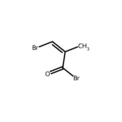 CC(=CBr)C(=O)Br